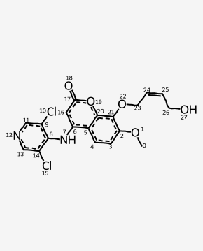 COc1ccc2c(Nc3c(Cl)cncc3Cl)cc(=O)oc2c1OC/C=C\CO